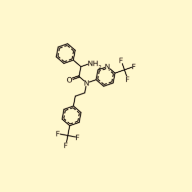 NC(C(=O)N(CCc1ccc(C(F)(F)F)cc1)c1ccc(C(F)(F)F)nc1)c1ccccc1